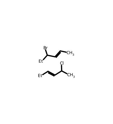 CC=CC(Br)CC.CCC=CC(C)Cl